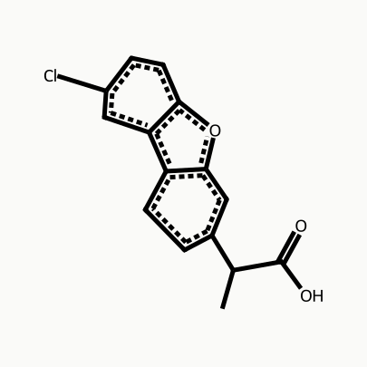 CC(C(=O)O)c1ccc2c(c1)oc1ccc(Cl)cc12